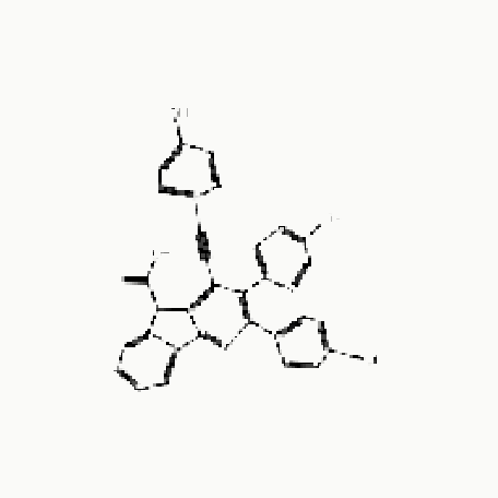 O=C(O)C1c2ccccc2-c2cc(-c3ccc(O)cc3)c(-c3ccc(O)cc3)c(C#Cc3ccc(O)cc3)c21